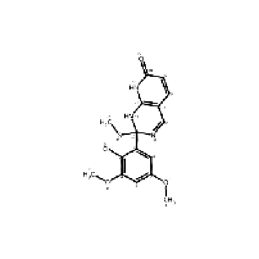 COc1cc(OC)c(Cl)c(C2(SC)N=Cc3ccc(=O)[nH]c3N2)c1